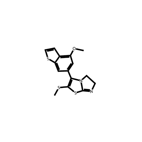 COc1cc(C2=C(SC)SC3=NCCN32)cc2sccc12